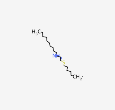 N.[CH2]CCCCCSCCCCCCCCCCCCC